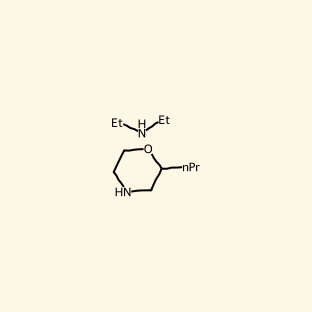 CCCC1CNCCO1.CCNCC